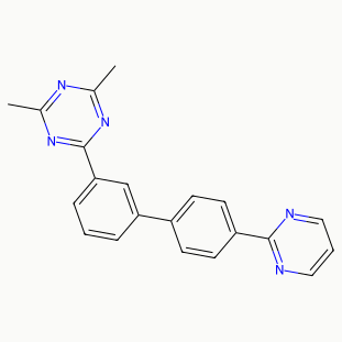 Cc1nc(C)nc(-c2cccc(-c3ccc(-c4ncccn4)cc3)c2)n1